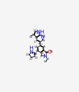 CCN1Cc2c(cc(-c3cnc4[nH]cc(C)c4c3)cc2[C@@H]2CCCN2)C1=O